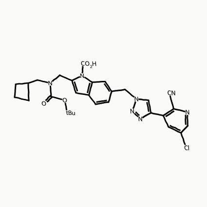 CC(C)(C)OC(=O)N(Cc1cc2ccc(Cn3cc(-c4cc(Cl)cnc4C#N)nn3)cc2n1C(=O)O)CC1CCC1